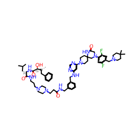 CC(C)C[C@H](NC(=O)[C@@H](O)[C@H](C)Cc1ccccc1)C(=O)NCCCN1CCN(CCC(=O)NCc2cccc(CNc3cc(N4CCC5(CC4)CN(c4cc(F)c(CN6CCC(C)(C)CC6)cc4F)CC(=O)N5)ncn3)c2)CC1